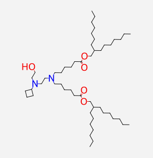 CCCCCCCC(CCCCCCC)COC(=O)CCCCCN(CCCCCC(=O)OCC(CCCCCCC)CCCCCCC)CCN(CCO)C1CCC1